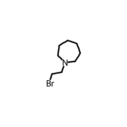 BrCCN1CCCCCC1